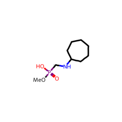 COP(=O)(O)[CH]NC1CCCCCC1